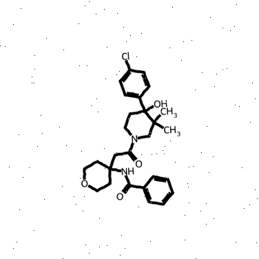 CC1(C)CN(C(=O)CC2(NC(=O)c3ccccc3)CCOCC2)CCC1(O)c1ccc(Cl)cc1